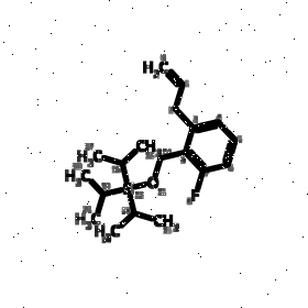 C=CCc1cccc(F)c1CO[Si](C(C)C)(C(C)C)C(C)C